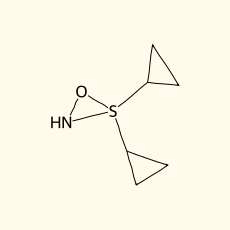 C1CC1S1(C2CC2)NO1